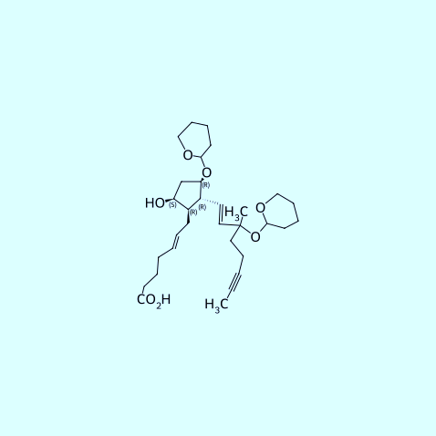 CC#CCCC(C)(C=C[C@@H]1[C@@H](CC=CCCCC(=O)O)[C@@H](O)C[C@H]1OC1CCCCO1)OC1CCCCO1